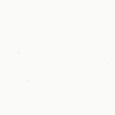 CC(CC/C=C/c1ccc2c(c1)OCO2)CC(=O)N1CCCCC1